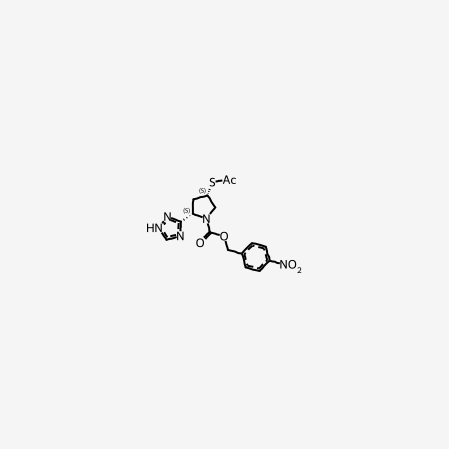 CC(=O)S[C@H]1C[C@@H](c2nc[nH]n2)N(C(=O)OCc2ccc([N+](=O)[O-])cc2)C1